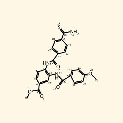 COC(=O)c1ccc(NC(=O)c2ccc(C(N)=S)cc2)c(NC(=O)c2ccc(OC)cc2)c1